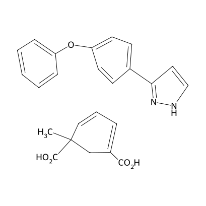 CC1(C(=O)O)C=CC=C(C(=O)O)C1.c1ccc(Oc2ccc(-c3cc[nH]n3)cc2)cc1